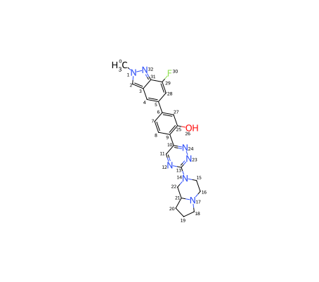 Cn1cc2cc(-c3ccc(-c4cnc(N5CCN6CCCC6C5)nn4)c(O)c3)cc(F)c2n1